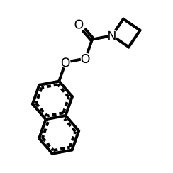 O=C(OOc1ccc2ccccc2c1)N1CCC1